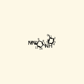 Cc1cccc(NC2=CCC(=[N+]=[N-])C=C2)c1